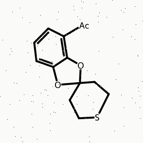 CC(=O)c1cccc2c1OC1(CCSCC1)O2